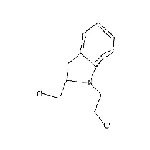 ClCCN1c2ccccc2CC1CCl